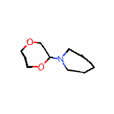 C1CCN([C]2COCCO2)CC1